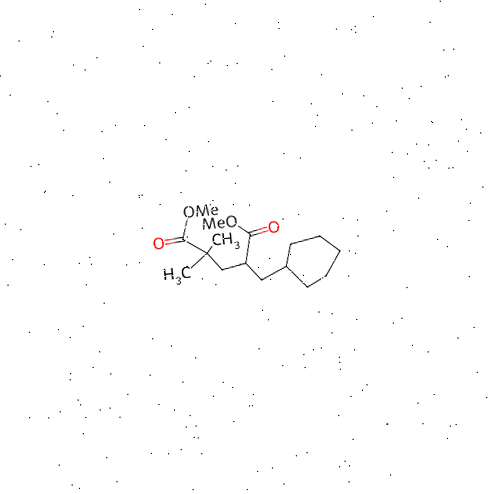 COC(=O)C(CC1CCCCC1)CC(C)(C)C(=O)OC